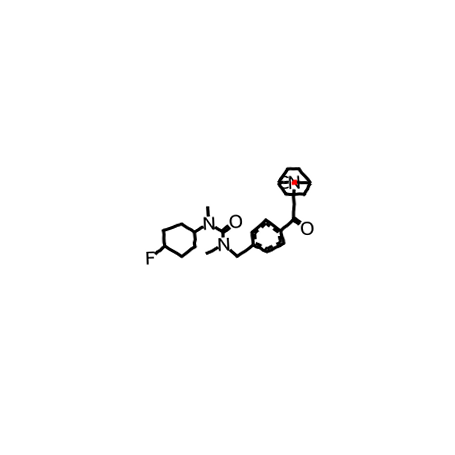 CN(Cc1ccc(C(=O)N2CC3CCC(CC3)C2)cc1)C(=O)N(C)C1CCC(F)CC1